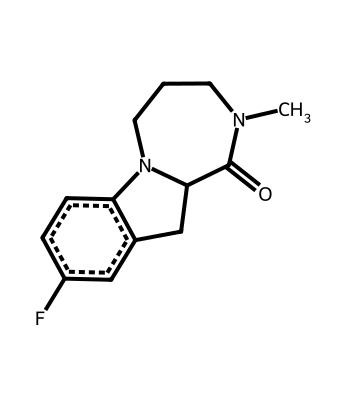 CN1CCCN2c3ccc(F)cc3CC2C1=O